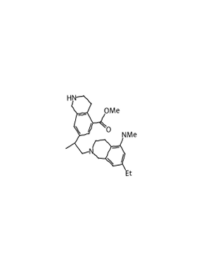 CCc1cc2c(c(NC)c1)CCN(CC(C)c1cc3c(c(C(=O)OC)c1)CCNC3)C2